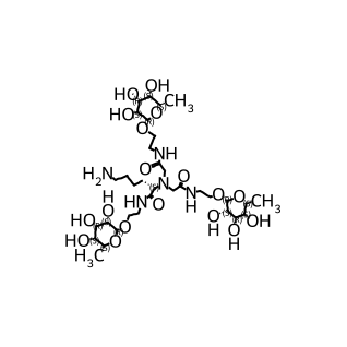 C[C@@H]1O[C@@H](OCCNC(=O)CN(CC(=O)NCCO[C@@H]2O[C@@H](C)[C@@H](O)[C@@H](O)[C@@H]2O)[C@@H](CCCCN)C(=O)NCCO[C@@H]2O[C@@H](C)[C@@H](O)[C@@H](O)[C@@H]2O)[C@@H](O)[C@H](O)[C@@H]1O